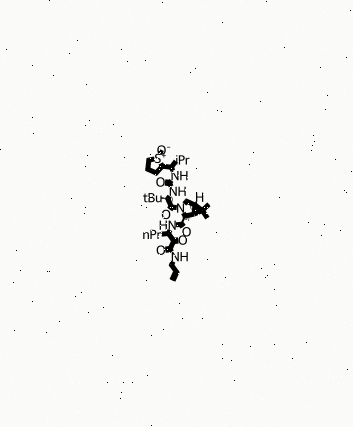 C=CCNC(=O)C(=O)C(CCC)NC(=O)[C@@H]1C2[C@H](CN1C(=O)[C@@H](NC(=O)NC(C(C)C)C1CCC[S+]1[O-])C(C)(C)C)C2(C)C